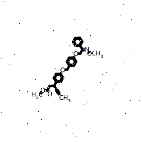 CC#CC(CC(=O)OC)c1ccc(OCc2ccc(OC/C(=N\OC)c3ccccc3)cc2)cc1